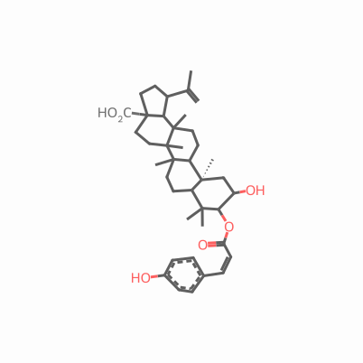 C=C(C)C1CCC2(C(=O)O)CCC3(C)C(C)(CCC4C3(C)CCC3C(C)(C)C(OC(=O)/C=C\c5ccc(O)cc5)C(O)C[C@@]34C)C12